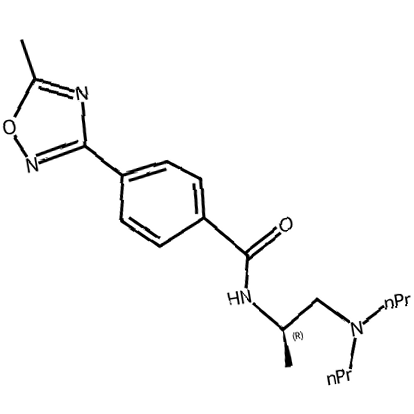 CCCN(CCC)C[C@@H](C)NC(=O)c1ccc(-c2noc(C)n2)cc1